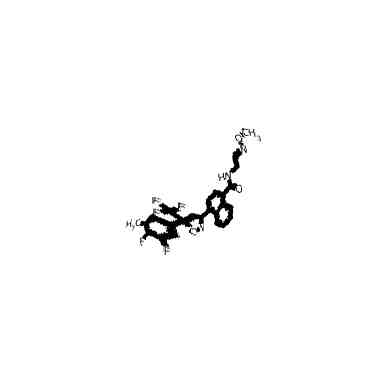 CO/N=C/CNC(=O)c1ccc(C2=NOC(c3cc(C)c(F)c(F)c3)(C(F)(F)F)C2)c2ccccc12